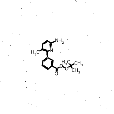 Cc1ccc(N)nc1-c1cccc(C(=O)OOC(C)(C)C)c1